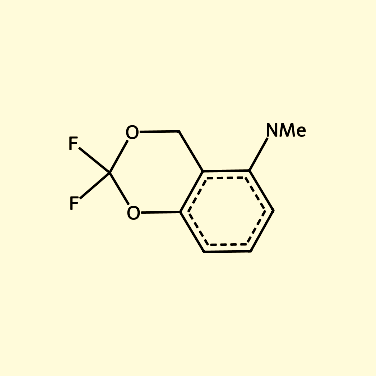 CNc1cccc2c1COC(F)(F)O2